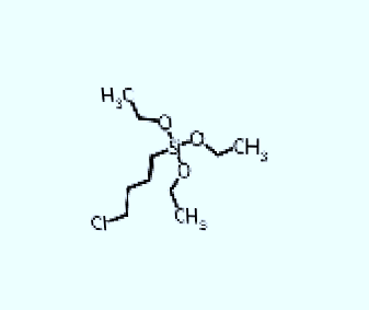 CCO[Si](CCCCCl)(OCC)OCC